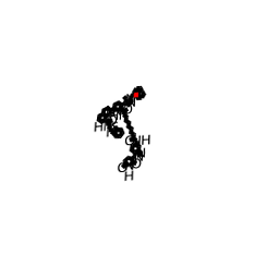 Cc1c(-c2ccc(N3CCc4cccc(C(=O)Nc5nc6ccccc6s5)c4C3)nc2C(=O)NCCCCCCCC(=O)Nc2ccc3c(C4CCC(=O)NC4=O)nn(C)c3c2)cnn1CC12CC3CC(CC(C3)C1)C2